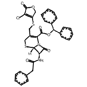 O=C(Cc1ccccc1)N[C@@H]1C(=O)N2C(C(=O)OC(c3ccccc3)c3ccccc3)=C(CSC3=C(Cl)C(=O)OC3)CS[C@@H]12